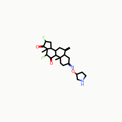 C=C1CC2C(C(=O)C(F)C3(C)C(=O)C(F)CC23)C2(C)CCC(=NOC3CCNC3)CC12